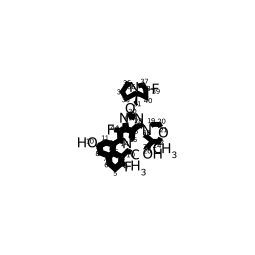 CCc1c(F)ccc2cc(O)cc(-c3ncc4c(N5CCOCC(C)(CO)C5)nc(OC[C@@]56CCCN5C[C@H](F)C6)nc4c3F)c12